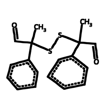 CC(C=O)(SSC(C)(C=O)c1ccccc1)c1ccccc1